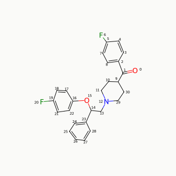 O=C(c1ccc(F)cc1)C1CCN(CC(Oc2ccc(F)cc2)c2ccccc2)CC1